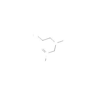 CP(CCP)C[PH](C)=S